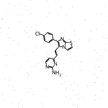 Nc1nccc(/C=C/c2c(-c3ccc(Cl)cc3)nc3sccn23)n1